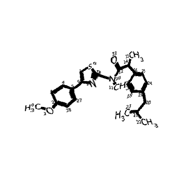 COc1ccc(-c2csc(N(C)C(=O)C(C)c3ccc(CC(C)C)cc3)n2)cc1